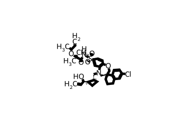 C=CC(C)OC(C)(C)C(=O)NS(=O)(=O)c1ccc2c(c1)N(C[C@@H]1CC[C@H]1C(O)C=C)C[C@@]1(CCCc3cc(Cl)ccc31)CO2